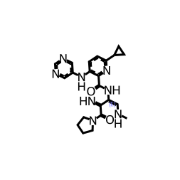 CN/C=C(/NC(=O)c1nc(C2CC2)ccc1Nc1cncnc1)C(=N)C(=O)N1CCCC1